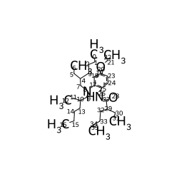 CCCCC(CC)CN(CC(CC)CCCC)c1cc(OCC)c[c]c1NC(=O)C(CC)CCCC